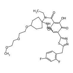 CCN(C(=O)c1[nH]cc(-c2nnc(Cc3ccc(F)cc3F)s2)c(=O)c1O)C1(NC)CCC(OCCOCCOC)CC1